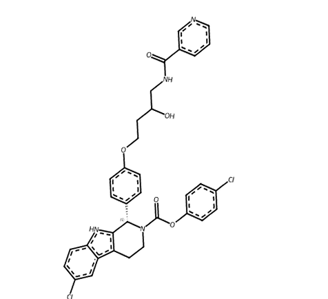 O=C(NCC(O)CCOc1ccc([C@H]2c3[nH]c4ccc(Cl)cc4c3CCN2C(=O)Oc2ccc(Cl)cc2)cc1)c1cccnc1